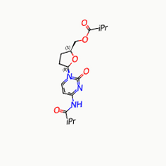 CC(C)C(=O)Nc1ccn([C@H]2CC[C@@H](COC(=O)C(C)C)O2)c(=O)n1